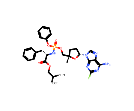 CCCCCCCCC(CCCCCCCC)COC(=O)[C@H](Cc1ccccc1)NP(=O)(OC[C@]1(C)CC[C@H](n2cnc3c(N)nc(F)nc32)O1)Oc1ccccc1